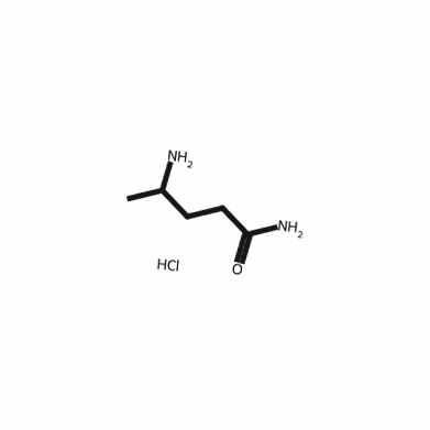 CC(N)CCC(N)=O.Cl